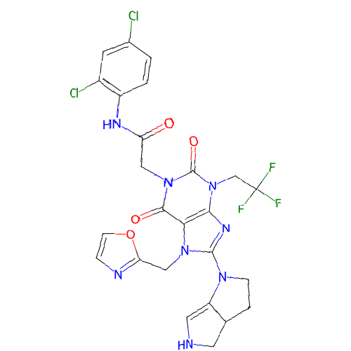 O=C(Cn1c(=O)c2c(nc(N3CCC4CNC=C43)n2Cc2ncco2)n(CC(F)(F)F)c1=O)Nc1ccc(Cl)cc1Cl